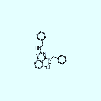 Clc1cccc2nc(NCc3ccccc3)nc(NCc3ccccc3)c12